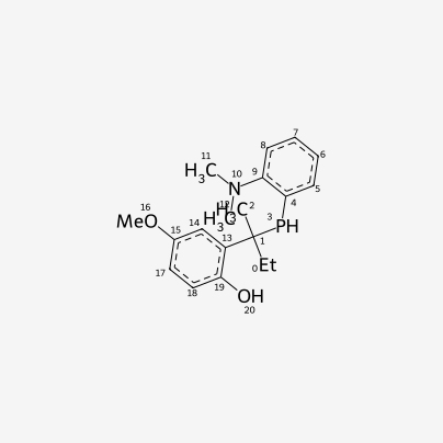 CCC(C)(Pc1ccccc1N(C)C)c1cc(OC)ccc1O